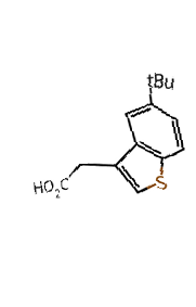 CC(C)(C)c1ccc2scc(CC(=O)O)c2c1